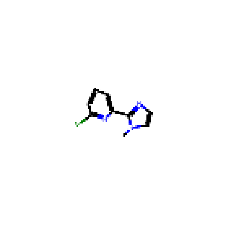 Cn1ccnc1-c1cccc(Br)n1